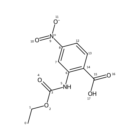 CCOC(=O)Nc1cc([N+](=O)[O-])ccc1C(=O)O